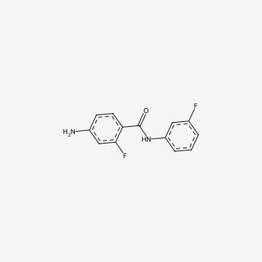 Nc1ccc(C(=O)Nc2cccc(F)c2)c(F)c1